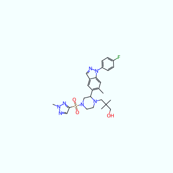 Cc1cc2c(cnn2-c2ccc(F)cc2)cc1C1CN(S(=O)(=O)c2cnn(C)n2)CCN1CC(C)(C)CO